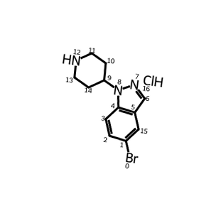 Brc1ccc2c(cnn2C2CCNCC2)c1.Cl